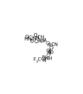 Cn1c(=O)n(C2CCC(=O)NC2=O)c2cccc(N3CCN(CC4CCN(c5cc(S(=O)(=O)N6CCC(Nc7ncc(C(F)(F)F)cn7)CC6)ccc5C#N)CC4)CC3)c21